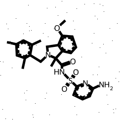 COc1cccc2c1CN(Cc1c(C)cc(C)cc1C)C2(C)C(=O)NS(=O)(=O)c1cccc(N)n1